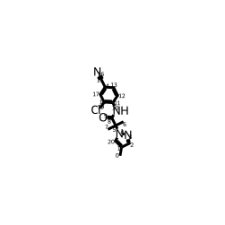 Cc1cnn(C(C)(C)C(=O)Nc2ccc(C#N)cc2Cl)c1